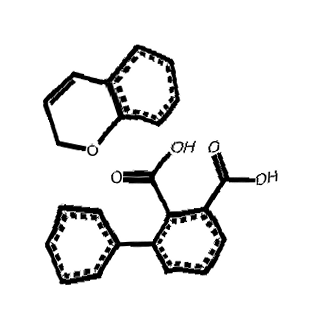 C1=Cc2ccccc2OC1.O=C(O)c1cccc(-c2ccccc2)c1C(=O)O